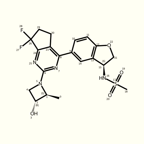 C[C@H]1[C@H](O)CN1c1nc(-c2ccc3c(c2)[C@H](NS(C)(=O)=O)CO3)c2c(n1)C(F)(F)CC2